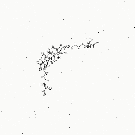 C=CC(=O)NCCCCOC1CC[C@@]2(C)C(=CC[C@@H]3[C@@H]2CC[C@@]2(C)[C@H]3CC[C@]2(OCCCCNC(=O)C=C)C(C)=O)C1